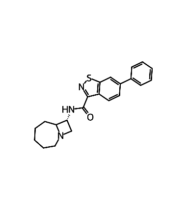 O=C(N[C@@H]1CN2CCCCCC12)c1nsc2cc(-c3ccccc3)ccc12